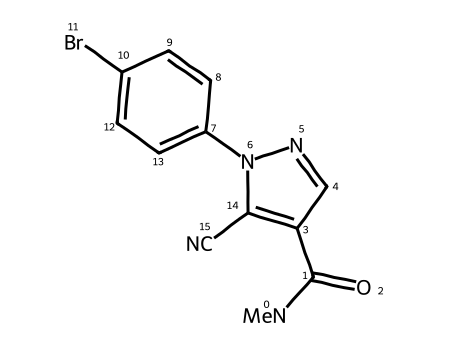 CNC(=O)c1cnn(-c2ccc(Br)cc2)c1C#N